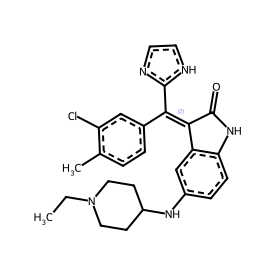 CCN1CCC(Nc2ccc3c(c2)/C(=C(\c2ccc(C)c(Cl)c2)c2ncc[nH]2)C(=O)N3)CC1